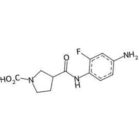 Nc1ccc(NC(=O)C2CCN(C(=O)O)C2)c(F)c1